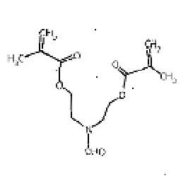 C=C(C)C(=O)OCCN(C=O)CCOC(=O)C(=C)C